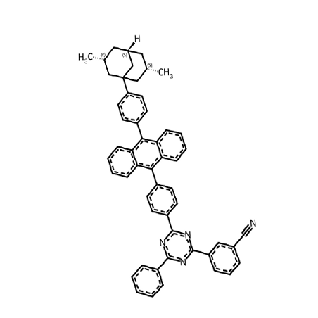 C[C@@H]1C[C@@H]2C[C@H](C)CC(c3ccc(-c4c5ccccc5c(-c5ccc(-c6nc(-c7ccccc7)nc(-c7cccc(C#N)c7)n6)cc5)c5ccccc45)cc3)(C1)C2